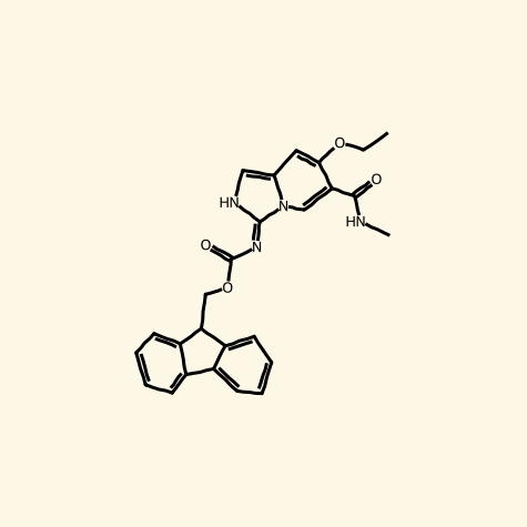 CCOc1cc2c[nH]c(=NC(=O)OCC3c4ccccc4-c4ccccc43)n2cc1C(=O)NC